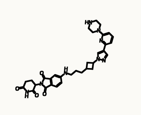 O=C1CCC(N2C(=O)c3ccc(NCCCC4CC(n5cc(-c6cccc(N7CCNCC7)n6)cn5)C4)cc3C2=O)C(=O)N1